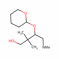 CNCC(OC1CCCCO1)C(C)(C)CO